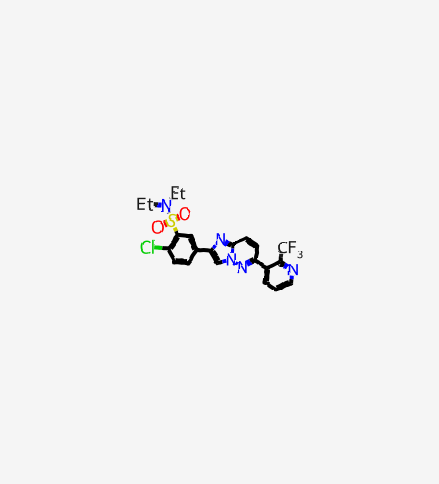 CCN(CC)S(=O)(=O)c1cc(-c2cn3nc(-c4cccnc4C(F)(F)F)ccc3n2)ccc1Cl